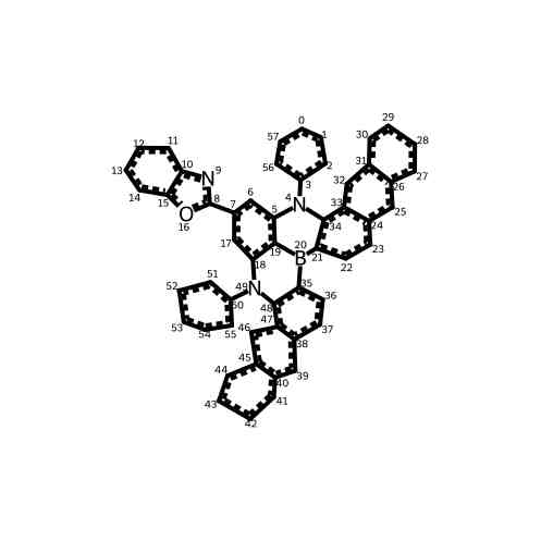 c1ccc(N2c3cc(-c4nc5ccccc5o4)cc4c3B(c3ccc5cc6ccccc6cc5c32)c2ccc3cc5ccccc5cc3c2N4c2ccccc2)cc1